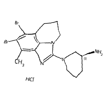 Cc1c(Br)c(Br)c2c3c1nc(N1CCC[C@H](N)C1)n3CCC2.Cl